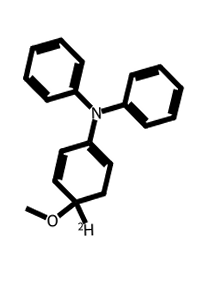 [2H]C1(OC)C=CC(N(c2ccccc2)c2ccccc2)=CC1